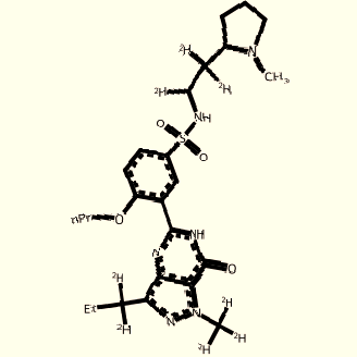 [2H]C(NS(=O)(=O)c1ccc(OCCC)c(-c2nc3c(C([2H])([2H])CC)nn(C([2H])([2H])[2H])c3c(=O)[nH]2)c1)C([2H])([2H])C1CCCN1C